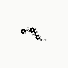 CC(=O)Nc1ccc(NC(=O)c2c(F)ccc(N[S+]([O-])c3ccccn3)c2F)cn1